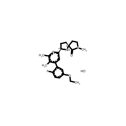 CCOc1ccc(F)c(-c2cc([C@H]3CC[C@]4(CCN(C)C4=O)N3)nc(C)c2C)c1.Cl